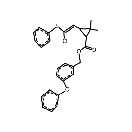 CC1(C)C(C=C(Cl)Sc2ccccc2)C1C(=O)OCc1cccc(Oc2ccccc2)c1